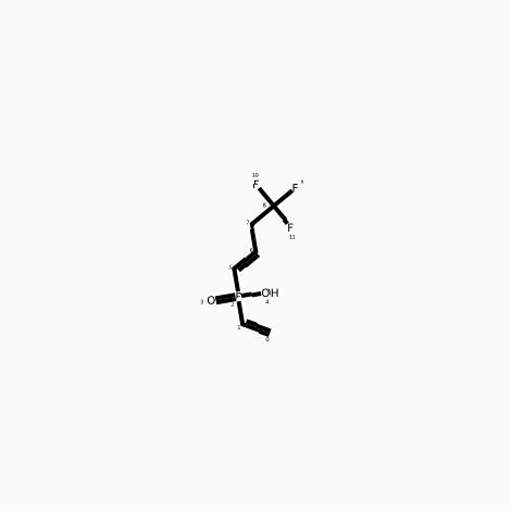 C=CP(=O)(O)C=CCC(F)(F)F